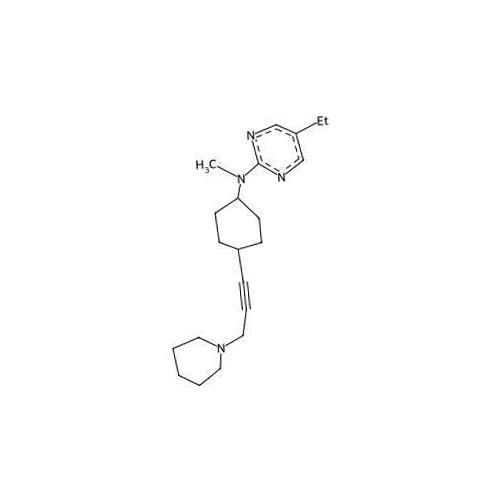 CCc1cnc(N(C)C2CCC(C#CCN3CCCCC3)CC2)nc1